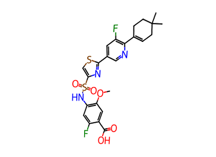 COc1cc(C(=O)O)c(F)cc1NS(=O)(=O)c1csc(-c2cnc(C3=CCC(C)(C)CC3)c(F)c2)n1